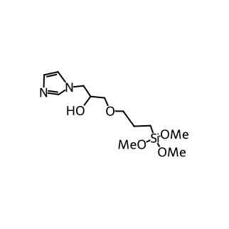 CO[Si](CCCOCC(O)Cn1ccnc1)(OC)OC